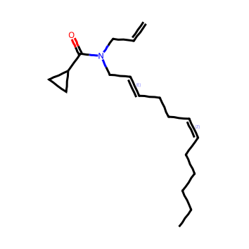 C=CCN(C/C=C/CC/C=C\CCCCC)C(=O)C1CC1